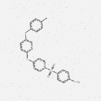 COc1ccc(S(=O)(=O)c2ccc(Oc3ccc(Cc4ccc(C)cc4)cc3)cc2)cc1